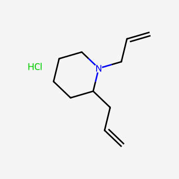 C=CCC1CCCCN1CC=C.Cl